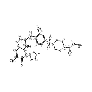 Cc1cc(S(=O)(=O)C2CCN(C(=O)OC(C)(C)C)CC2)ccc1NC1NCC2C=C(Cl)C(=O)N(C3CCCC3)C2N1